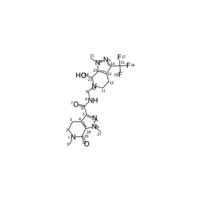 CN1CCc2c(C(=O)NCN3CCc4c(C(F)(F)F)nn(C)c4C3O)nn(C)c2C1=O